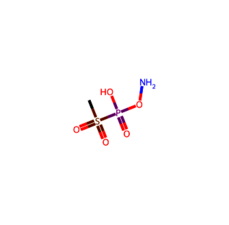 CS(=O)(=O)P(=O)(O)ON